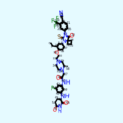 CCc1cc(N2C(=S)N(c3ccc(C#N)c(C(F)(F)F)c3)C(=O)C23CCC3)ccc1OCCN1CCN(CC(=O)Nc2cc(F)cc(NC3CCC(=O)NC3=O)c2)[C@H](C)C1